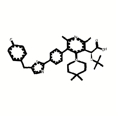 Cc1nc(C)c([C@H](OC(C)(C)C)C(=O)O)c(N2CCC(C)(C)CC2)c1-c1ccc(-c2ncc(Cc3ccc(F)cc3)s2)cc1